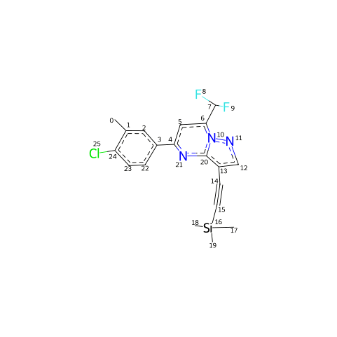 Cc1cc(-c2cc(C(F)F)n3ncc(C#C[Si](C)(C)C)c3n2)ccc1Cl